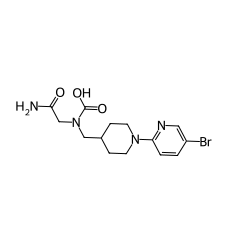 NC(=O)CN(CC1CCN(c2ccc(Br)cn2)CC1)C(=O)O